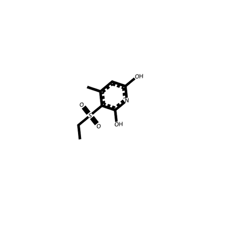 CCS(=O)(=O)c1c(C)cc(O)nc1O